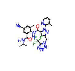 Cc1cccnc1-n1nc(Cn2nnnc2C(F)(F)F)cc1C(=O)Nc1c(C)cc(C#N)cc1C(=O)NC(C)C